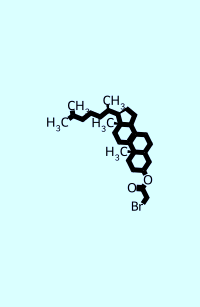 CC(C)CCC[C@@H](C)[C@H]1CCC2C3=C(CC[C@@]21C)[C@@]1(C)CCC(OC(=O)CBr)CC1CC3